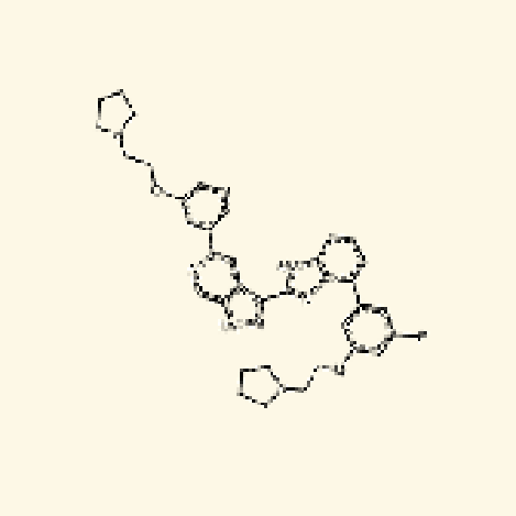 Fc1cc(OCCN2CCCC2)cc(-c2cccc3[nH]c(-c4n[nH]c5cnc(-c6cncc(OCCN7CCCC7)c6)cc45)nc23)c1